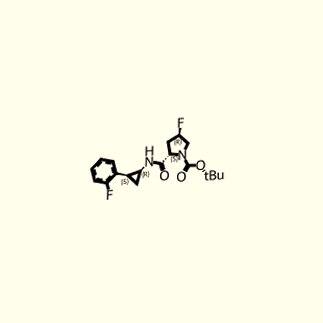 CC(C)(C)OC(=O)N1C[C@H](F)C[C@H]1C(=O)N[C@@H]1C[C@H]1c1ccccc1F